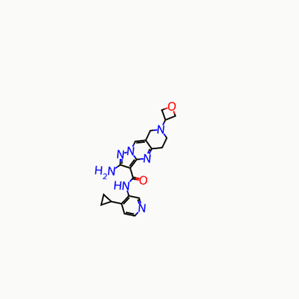 Nc1nn2cc3c(nc2c1C(=O)Nc1cnccc1C1CC1)CCN(C1COC1)C3